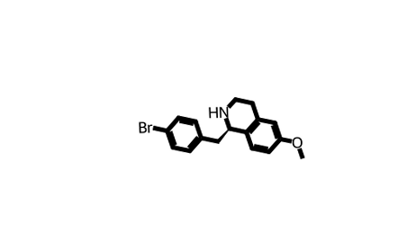 COc1ccc2c(c1)CCN[C@@H]2Cc1ccc(Br)cc1